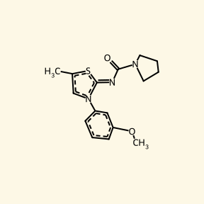 COc1cccc(-n2cc(C)s/c2=N\C(=O)N2CCCC2)c1